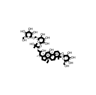 CC[C@@]12CCC([C@H](C)C(O)C[C@@H](O[C@@H]3O[C@H](CO[C@@H]4O[C@H](CO)[C@@H](O)[C@H](O)[C@H]4O)[C@@H](O)[C@H](O)[C@H]3O)C(C)(C)O)[C@@]1(C)C[C@@H](O)[C@@]1(C)[C@@H]3CC[C@H](O[C@@H]4O[C@H](CO)[C@@H](O)[C@H](O)[C@H]4O)C(C)(C)C3=CC[C@H]12